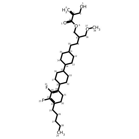 C=C(CO)C(=O)OCC(CCC1CCC(C2CCC(C3=C(F)C(F)=C(CCCCC)CC3)CC2)CC1)COC